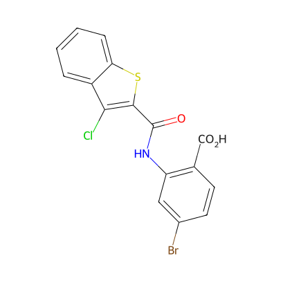 O=C(O)c1ccc(Br)cc1NC(=O)c1sc2ccccc2c1Cl